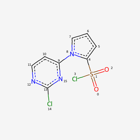 O=S(=O)(Cl)c1cccn1-c1ccnc(Cl)n1